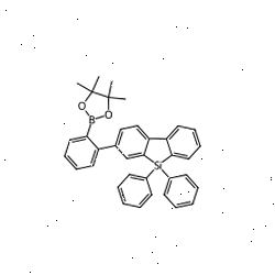 CC1(C)OB(c2ccccc2-c2ccc3c(c2)[Si](c2ccccc2)(c2ccccc2)c2ccccc2-3)OC1(C)C